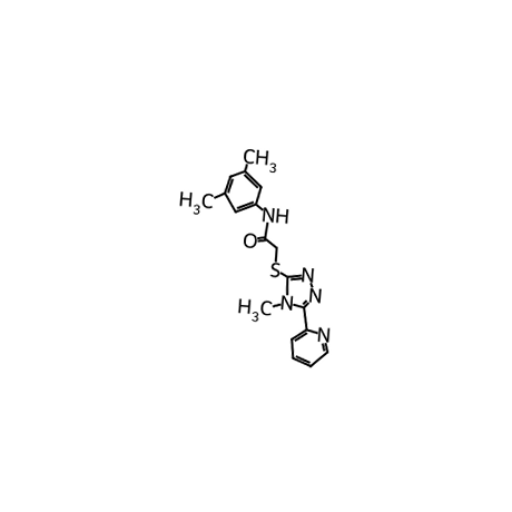 Cc1cc(C)cc(NC(=O)CSc2nnc(-c3ccccn3)n2C)c1